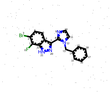 Fc1c(Br)ccc2c(-c3nccn3Cc3ccccc3)n[nH]c12